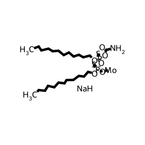 CCCCCCCCCCCCOP(=S)([O][Mo])OP(=S)(OCCCCCCCCCCCC)OC(N)=O.[NaH]